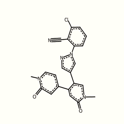 Cn1ccc(-c2cc(=O)n(C)cc2-c2cnn(-c3cccc(Cl)c3C#N)c2)cc1=O